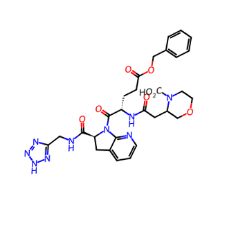 O=C(CC1COCCN1C(=O)O)N[C@@H](CCC(=O)OCc1ccccc1)C(=O)N1c2ncccc2C[C@H]1C(=O)NCc1nn[nH]n1